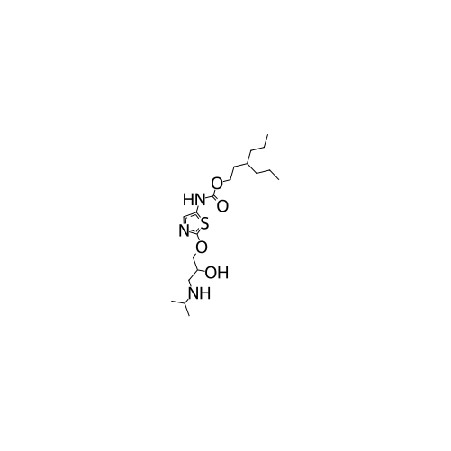 CCCC(CCC)CCOC(=O)Nc1cnc(OCC(O)CNC(C)C)s1